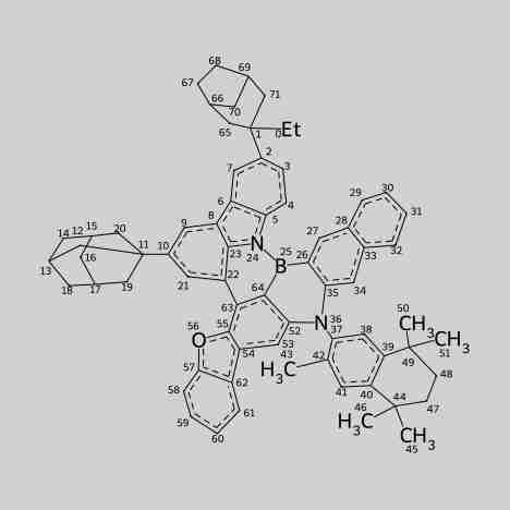 CCC1(c2ccc3c(c2)c2cc(C45CC6CC(CC(C6)C4)C5)cc4c2n3B2c3cc5ccccc5cc3N(c3cc5c(cc3C)C(C)(C)CCC5(C)C)c3cc5c(oc6ccccc65)c-4c32)CC2CCC(C2)C1